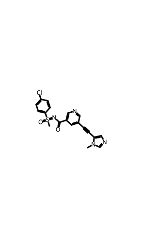 Cn1cncc1C#Cc1cncc(C(=O)N=S(C)(=O)c2ccc(Cl)cc2)c1